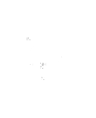 CNCc1ccc(C(=N)OC(C)C2=C(C)N(C)CC(c3ccc(SC(C)C)cc3C)=N2)cc1